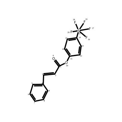 O=C(/C=C/c1ccccc1)Oc1ccc(S(F)(F)(F)(F)F)cc1